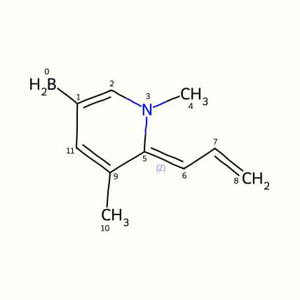 BC1=CN(C)/C(=C\C=C)C(C)=C1